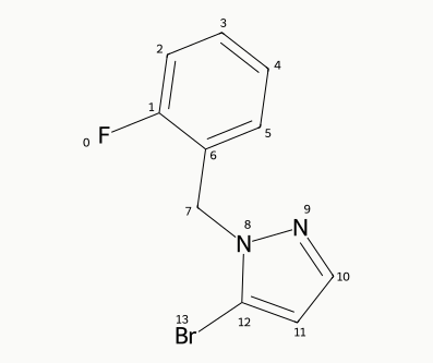 Fc1ccccc1Cn1nccc1Br